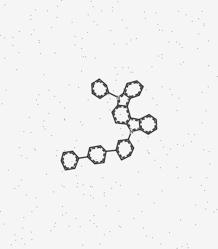 c1ccc(-c2ccc(-c3cccc(-n4c5ccccc5c5c6c7ccccc7n(-c7ccccc7)c6ccc54)c3)cc2)cc1